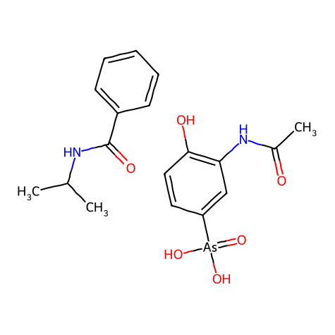 CC(=O)Nc1cc([As](=O)(O)O)ccc1O.CC(C)NC(=O)c1ccccc1